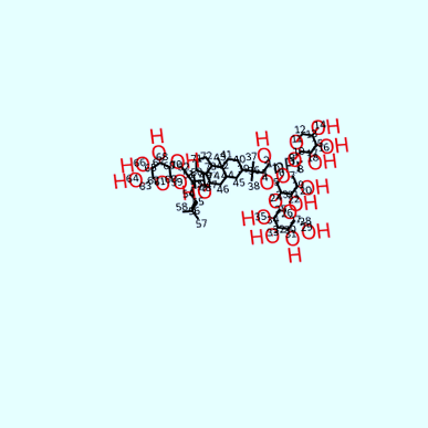 CCC[C@@H](O)[C@H](O[C@@H]1O[C@H](COC2OCC(O)C(O)C2O)[C@@H](O)[C@H](O)[C@H]1O[C@@H]1O[C@H](CO)[C@@H](O)[C@H](O)[C@H]1O)C(C)(C)C1CC[C@]2(C)C(C1)C[C@@H](O)[C@@H]1[C@@H](C(C)(CCC=C(C)C)O[C@@H]3O[C@H](CO)[C@@H](O)[C@H](O)[C@H]3O)CC[C@]12C